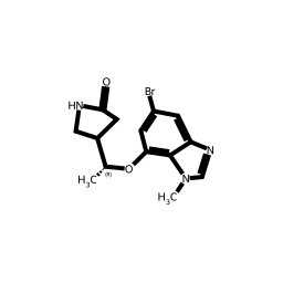 C[C@@H](Oc1cc(Br)cc2ncn(C)c12)C1CNC(=O)C1